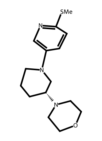 CSc1ccc(N2CCC[C@@H](N3CCOCC3)C2)cn1